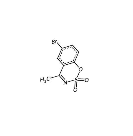 CC1=NS(=O)(=O)Oc2ccc(Br)cc21